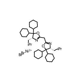 CC(C)C[C@H]1N=C(CC2=N[C@H](CC(C)C)C(C3CCCCC3)(C3CCCCC3)O2)OC1(C1CCCCC1)C1CCCCC1.[Br-].[Br-].[Ni+2]